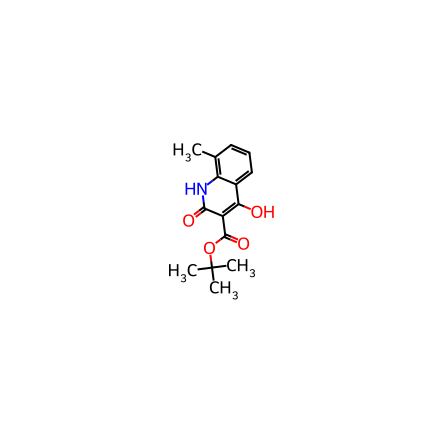 Cc1cccc2c(O)c(C(=O)OC(C)(C)C)c(=O)[nH]c12